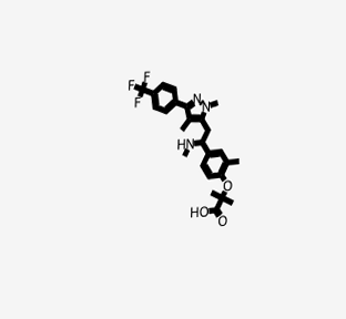 CNC(Cc1c(C)c(-c2ccc(C(F)(F)F)cc2)nn1C)c1ccc(OC(C)(C)C(=O)O)c(C)c1